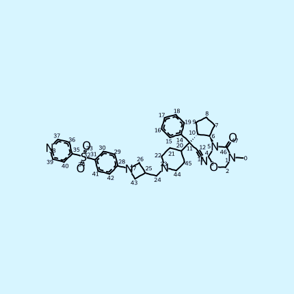 CN1COCN([C@@H]2CCC[C@H]2C(C#N)(c2ccccc2)C2CCN(CC3CN(c4ccc(S(=O)(=O)c5ccncc5)cc4)C3)CC2)C1=O